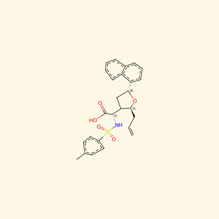 C=CC[C@@H]1O[C@@H](c2cccc3ccccc23)CC1[C@H](NS(=O)(=O)c1ccc(C)cc1)C(=O)O